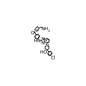 NCC1CCN(C(=O)c2ccc(Nc3nc4c(N5CCC(O)(c6ccc(Cl)cc6)CC5)cccn4n3)cc2)C1